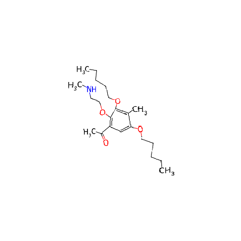 CCCCCOc1cc(C(C)=O)c(OCCNC)c(OCCCCC)c1C